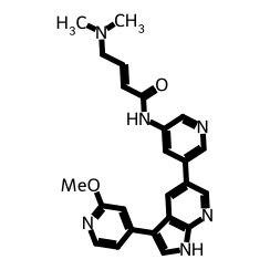 COc1cc(-c2c[nH]c3ncc(-c4cncc(NC(=O)C=CCN(C)C)c4)cc23)ccn1